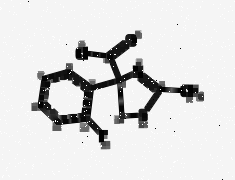 CC1=NC(C(=O)Cl)(c2ccccc2F)CS1